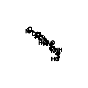 Cc1c(OCc2cnco2)ccc2c1CCN(C[C@@H](O)CNC(=O)c1ccnc(NC3CC(CO)C3)c1)C2